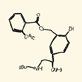 CC(=O)Oc1ccccc1C(=O)OCc1cc(C(O)CNC(C)(C)C)ccc1O